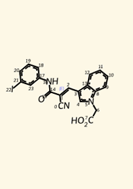 N#C/C(=C\c1cn(CC(=O)O)c2ccccc12)C(=O)Nc1cccc(I)c1